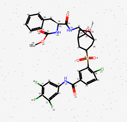 C[C@H]1CC2CC(S(=O)(=O)c3cc(C(=O)Nc4cc(F)c(F)c(F)c4)ccc3Cl)CC1[C@@]2(O)CNC(=O)[C@H](Cc1ccccc1)NC(=O)OC(C)(C)C